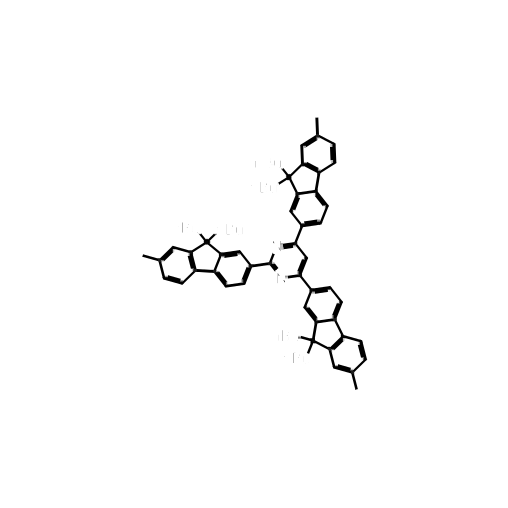 CCCCC1(CCCC)c2cc(C)ccc2-c2ccc(-c3cc(-c4ccc5c(c4)C(CCCC)(CCCC)c4cc(C)ccc4-5)nc(-c4ccc5c(c4)C(CCCC)(CCCC)c4cc(C)ccc4-5)n3)cc21